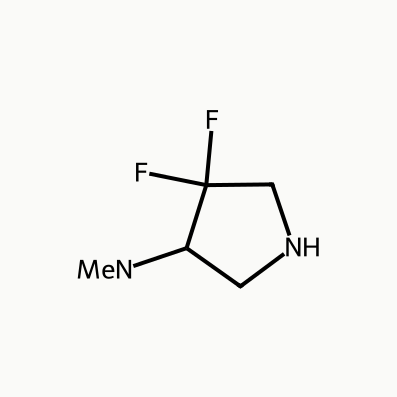 CNC1CNCC1(F)F